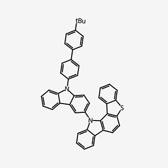 CC(C)(C)c1ccc(-c2ccc(-n3c4ccccc4c4cc(-n5c6ccccc6c6ccc7sc8ccccc8c7c65)ccc43)cc2)cc1